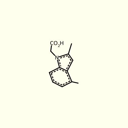 Cc1cccc2c1cc(C)n2CC(=O)O